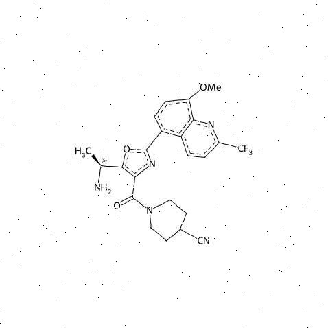 COc1ccc(-c2nc(C(=O)N3CCC(C#N)CC3)c([C@H](C)N)o2)c2ccc(C(F)(F)F)nc12